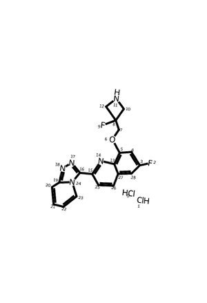 Cl.Cl.Fc1cc(OCC2(F)CNC2)c2nc(-c3nnc4ccccn34)ccc2c1